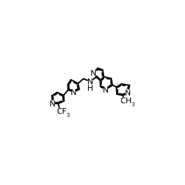 Cc1cc(-c2cc3ccnc(NCc4ccc(-c5ccnc(C(F)(F)F)c5)nc4)c3cn2)ccn1